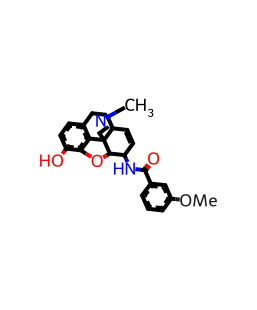 COc1cccc(C(=O)NC2C=CC3C4Cc5ccc(O)c6c5C3(CCN4C)C2O6)c1